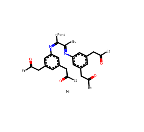 CCCCCC(=Nc1cc(CC(=O)CC)cc(CC(=O)CC)c1)C(CCCC)=Nc1cc(CC(=O)CC)cc(CC(=O)CC)c1.[Ni]